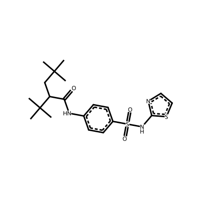 CC(C)(C)CC(C(=O)Nc1ccc(S(=O)(=O)Nc2nccs2)cc1)C(C)(C)C